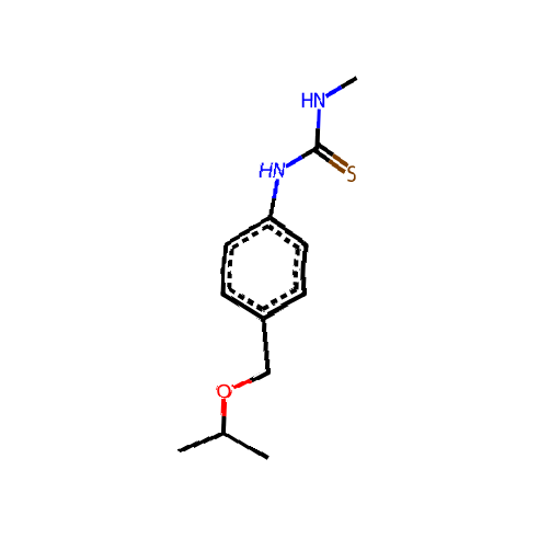 CNC(=S)Nc1ccc(COC(C)C)cc1